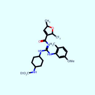 CCOC(=O)NC1CCC(N/C(=N\C(=O)C2=CC(C)OC2C(F)(F)F)Nc2cc(OC)ccc2C)CC1